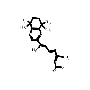 CC(C=CC=C(C)c1cnc2c(n1)C(C)(C)CCC2(C)C)=CC(=O)O